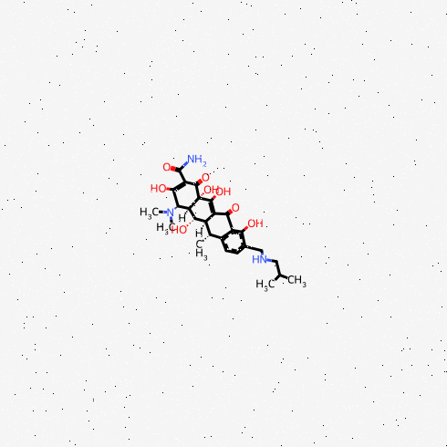 CC(C)CNCc1ccc2c(c1O)C(=O)C1=C(O)[C@]3(O)C(=O)C(C(N)=O)=C(O)[C@@H](N(C)C)[C@@H]3[C@@H](O)[C@@H]1[C@H]2C